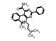 CC(=O)c1ccccc1-c1c(NCCN(C)C)nc(-c2ccccc2)nc1C(N)=O